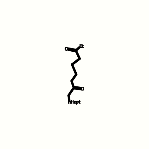 CCCCCCCCC(=O)CCCCC(=O)CC